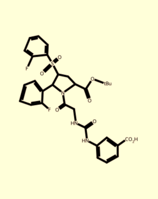 CC(C)(C)OC(=O)C1CC(S(=O)(=O)c2ccccc2F)C(c2ccccc2F)N1C(=O)CNC(=O)Nc1cccc(C(=O)O)c1